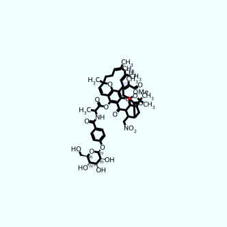 COC(=O)/C(C)=C\CC12OC(C)(C)C3CC(C1=O)C(C[N+](=O)[O-])C1C(=O)c4c(OC(=O)C(C)NC(=O)c5ccc(O[C@@H]6O[C@H](CO)[C@@H](O)[C@@H](O)[C@H]6O)cc5)c5c(c(CC=C(C)C)c4OC132)OC(C)(CCC=C(C)C)C=C5